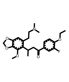 CCOc1ccc(C(=O)CC(C)c2c(CCN(C)C)cc3c(c2OC)OCO3)cc1F